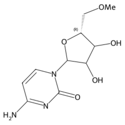 COC[C@H]1OC(n2ccc(N)nc2=O)C(O)C1O